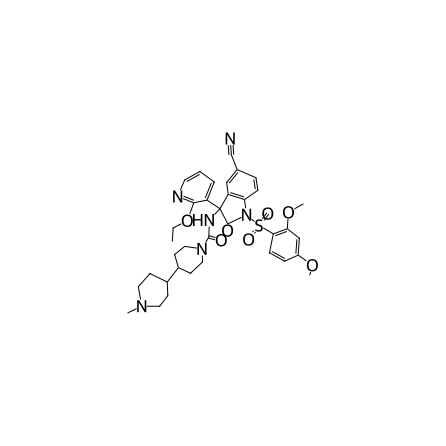 CCOc1ncccc1C1(NC(=O)N2CCC(C3CCN(C)CC3)CC2)C(=O)N(S(=O)(=O)c2ccc(OC)cc2OC)c2ccc(C#N)cc21